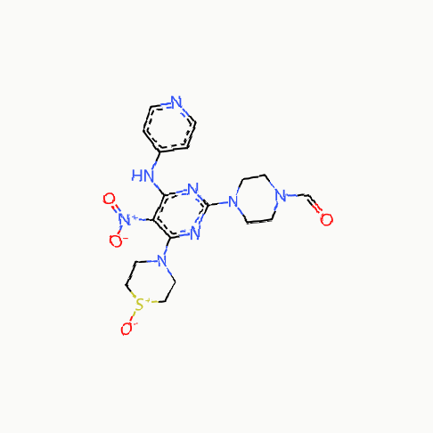 O=CN1CCN(c2nc(Nc3ccncc3)c([N+](=O)[O-])c(N3CC[S+]([O-])CC3)n2)CC1